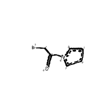 O=C(CBr)n1cccc1